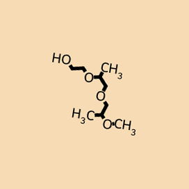 COC(C)COCC(C)OCCO